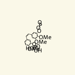 COc1ccc(/C=C\c2cc(OC)c(OC)c(OOP=O)c2)cc1OP(=O)(O)O